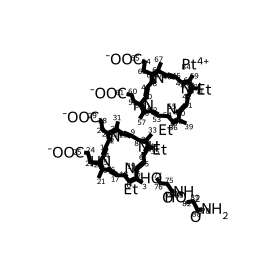 CCC1=C(C)c2cc3[nH]c(cc4nc(cc5[nH]c(cc1n2)c(C)c5CCC(=O)[O-])C(CCC(=O)[O-])=C4C)c(C)c3CC.CCC1=C(C)c2cc3[nH]c(cc4nc(cc5[nH]c(cc1n2)c(C)c5CCC(=O)[O-])C(CCC(=O)[O-])=C4C)c(C)c3CC.NC(=O)CCO.NC(=O)CCO.[Pt+4]